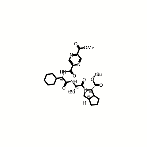 COC(=O)c1cnc(C(=O)N[C@H](C(=O)N[C@H](C(=O)N2C[C@@H]3CCCC3[C@H]2C(=O)OC(C)(C)C)C(C)(C)C)C2CCCCC2)cn1